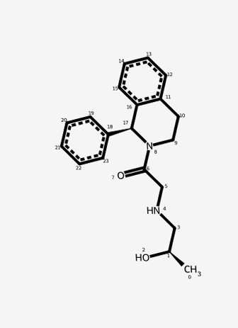 C[C@@H](O)CNCC(=O)N1CCc2ccccc2[C@@H]1c1ccccc1